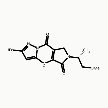 COC[C@@H](C)N1Cc2c([nH]c3cc(C(C)C)nn3c2=O)C1=O